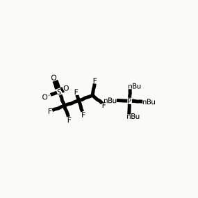 CCCC[P+](CCCC)(CCCC)CCCC.O=S(=O)([O-])C(F)(F)C(F)(F)C(F)F